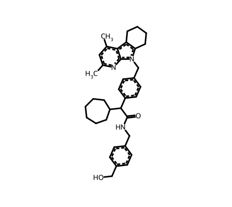 Cc1cc(C)c2c3c(n(Cc4ccc(C(C(=O)NCc5ccc(CO)cc5)C5CCCCCC5)cc4)c2n1)CCCC3